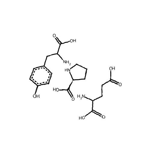 NC(CCC(=O)O)C(=O)O.NC(Cc1ccc(O)cc1)C(=O)O.O=C(O)[C@@H]1CCCN1